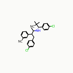 CC(N[C@@H](c1ccc(Cl)cc1)C(C)(C)C#N)C(Cc1ccc(Cl)cc1)c1cccc(C#N)c1